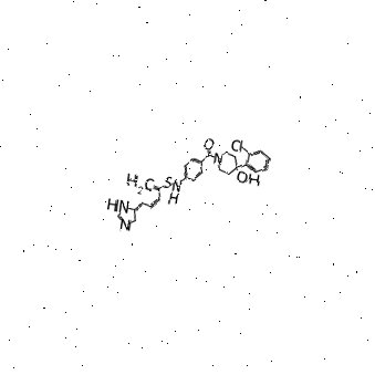 C=C(/C=C\C=C1/CN=CN1)SNc1ccc(C(=O)N2CCC(O)(c3ccccc3Cl)CC2)cc1